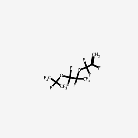 C=C(F)C(F)(F)OC(F)(C(F)(F)F)C(F)(F)OC(F)(C(F)(F)F)C(F)(F)F